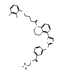 Cc1cccc(OCCCC(=O)N2CCCc3c(-c4cnc(Oc5cccc(C(=O)NCS(=O)(=O)O)c5)s4)cccc32)c1C